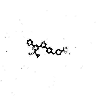 CC(C)N1CCN(Cc2ccc(-c3cncc(-c4cc(-c5ccccn5)nc(N(C)C5CC5)c4)c3)cc2)CC1